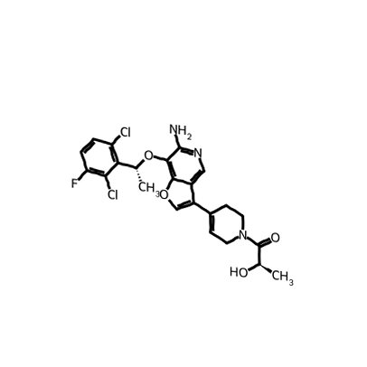 C[C@@H](O)C(=O)N1CC=C(c2coc3c(O[C@H](C)c4c(Cl)ccc(F)c4Cl)c(N)ncc23)CC1